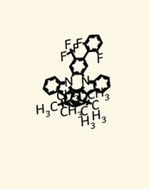 CC(C)(C)c1ccc2c3ccccc3n(-c3cc(-c4c(F)cccc4F)c(C(F)(F)F)cc3-n3c4ccccc4c4ccc(C(C)(C)C)cc43)c2c1